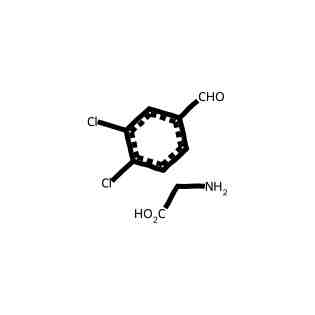 NCC(=O)O.O=Cc1ccc(Cl)c(Cl)c1